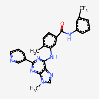 Cc1ccc(C(=O)Nc2cccc(C(F)(F)F)c2)cc1Nc1nc(-c2cccnc2)nc2c1ncn2C